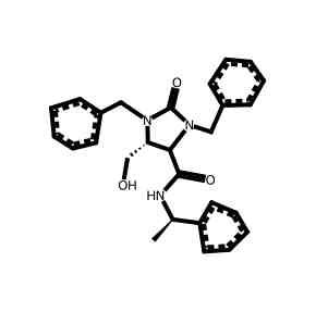 C[C@@H](NC(=O)C1[C@H](CO)N(Cc2ccccc2)C(=O)N1Cc1ccccc1)c1ccccc1